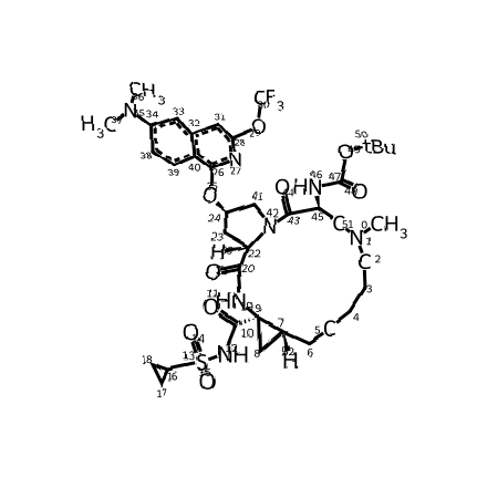 CN1CCCCC[C@@H]2C[C@@]2(C(=O)NS(=O)(=O)C2CC2)NC(=O)[C@@H]2C[C@@H](Oc3nc(OC(F)(F)F)cc4cc(N(C)C)ccc34)CN2C(=O)[C@@H](NC(=O)OC(C)(C)C)C1